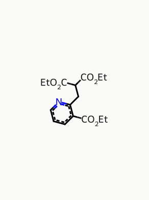 CCOC(=O)c1cccnc1CC(C(=O)OCC)C(=O)OCC